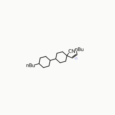 CCCC/C=C\C1(C#N)CCC(C2CCC(CCCC)CC2)CC1